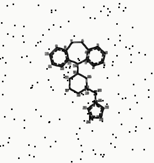 c1ccc2c(c1)CCc1ccccc1C2C1CCCN(Sn2ccnc2)C1